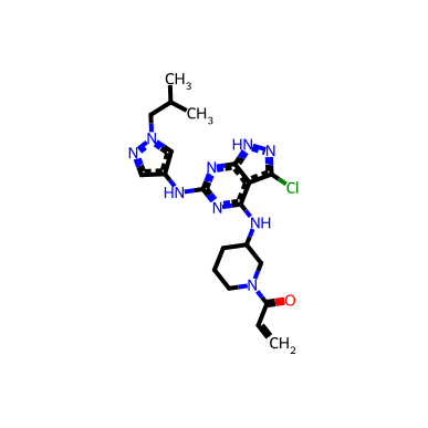 C=CC(=O)N1CCCC(Nc2nc(Nc3cnn(CC(C)C)c3)nc3[nH]nc(Cl)c23)C1